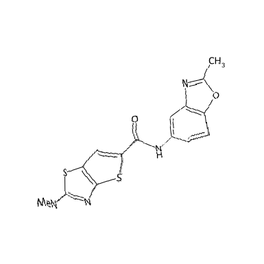 CNc1nc2sc(C(=O)Nc3ccc4oc(C)nc4c3)cc2s1